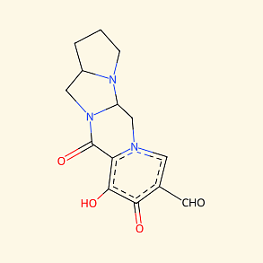 O=Cc1cn2c(c(O)c1=O)C(=O)N1CC3CCCN3C1C2